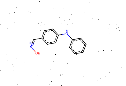 O/N=C\c1ccc(Nc2ccccc2)cc1